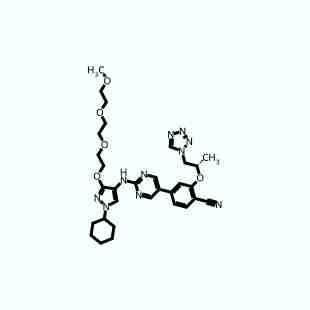 COCCOCCOCCOc1nn(C2CCCCC2)cc1Nc1ncc(-c2ccc(C#N)c(O[C@@H](C)Cn3cnnn3)c2)cn1